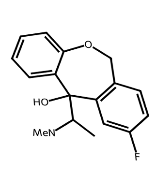 CNC(C)C1(O)c2cc(F)ccc2COc2ccccc21